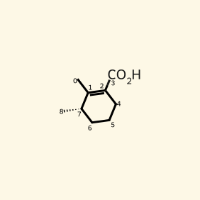 CC1=C(C(=O)O)CCC[C@@H]1C